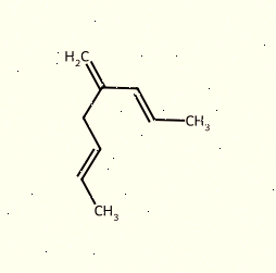 C=C(C=CC)CC=CC